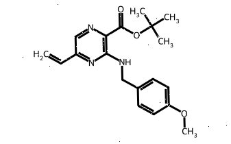 C=Cc1cnc(C(=O)OC(C)(C)C)c(NCc2ccc(OC)cc2)n1